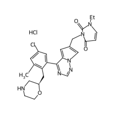 CCn1ccc(=O)n(Cc2cc3c(-c4cc(Cl)cc(C)c4C[C@@H]4CNCCO4)ncnn3c2)c1=O.Cl